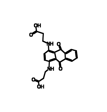 O=C(O)CCNc1ccc(NCCC(=O)O)c2c1C(=O)c1ccccc1C2=O